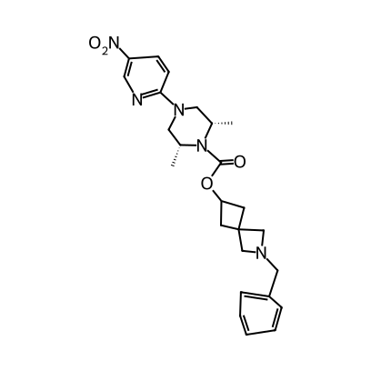 C[C@@H]1CN(c2ccc([N+](=O)[O-])cn2)C[C@H](C)N1C(=O)OC1CC2(C1)CN(Cc1ccccc1)C2